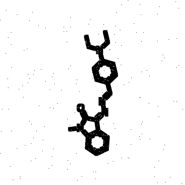 CCN(CC)c1ccc(/C=N/N=C2\C(=O)N(C)c3ccccc32)cc1